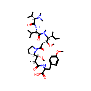 CCC(C)[C@@H]([C@@H](CC(=O)N1CCC[C@H]1[C@H](OC)[C@@H](C)C(=O)NC(Cc1ccc(OC)cc1)C(=O)O)OC)N(C)C(=O)[C@@H](NC(=O)[C@H](C(C)C)N(C)C)C(C)C